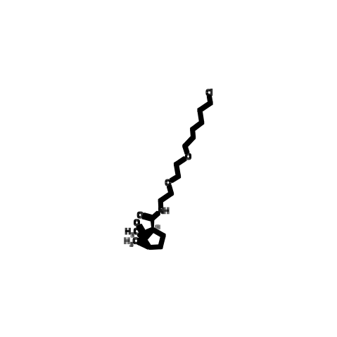 CC1(C)C2CC[C@@]1(C(=O)NCCOCCOCCCCCCCl)C(=O)C2